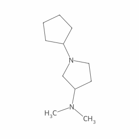 CN(C)C1CCN(C2CCCC2)C1